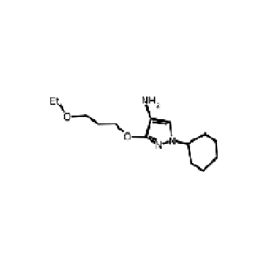 CCOCCCOc1nn(C2CCCCC2)cc1N